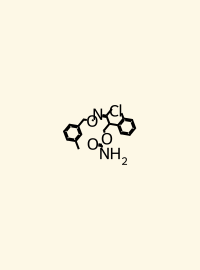 CC(=NOCc1cccc(C)c1)C(COC(N)=O)c1ccccc1Cl